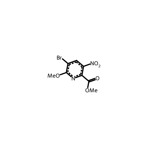 COC(=O)c1nc(OC)c(Br)cc1[N+](=O)[O-]